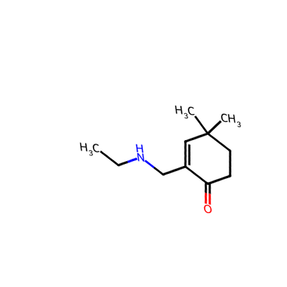 CCNCC1=CC(C)(C)CCC1=O